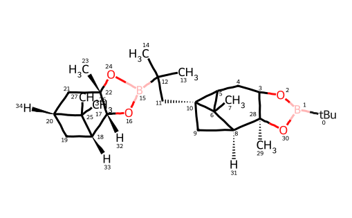 CC(C)(C)B1OC2CC3C4(C)[C@H](C[C@@]34CC(C)(C)B3O[C@@H]4[C@@H]5C[C@H](C[C@]4(C)O3)C5(C)C)[C@]2(C)O1